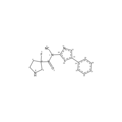 N#CN(C(=O)C1(F)CCNC1)c1ncc(-c2ccccc2)s1